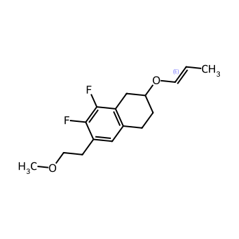 C/C=C/OC1CCc2cc(CCOC)c(F)c(F)c2C1